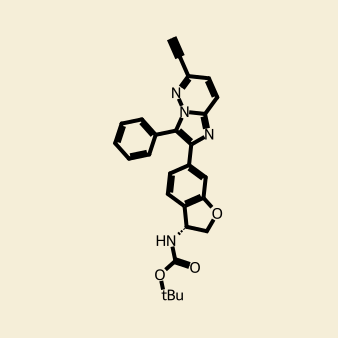 C#Cc1ccc2nc(-c3ccc4c(c3)OC[C@@H]4NC(=O)OC(C)(C)C)c(-c3ccccc3)n2n1